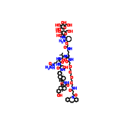 CC(C)[C@H](NC(=O)[C@@H](CCCCNC(=O)COC1CCCCC/C(N[C@H]2O[C@H](CO)C([C@H]3O[C@H](CO)[C@@H](O)[C@H](O)[C@H]3O)[C@H](O)[C@H]2O)=C\1N)NC(=O)CCOCCOCCOCCOCCNC(=O)CCC(=O)N1Cc2ccccc2C#Cc2ccccc21)C(=O)N[C@@H](CCCNC(N)=O)C(=O)N[C@@H](CO)C(=O)Nc1ccc2c(c1)[C@@]1(C)CCC[C@](C)(C(=O)NC(=O)[C@@]3(C)CCC[C@]4(C)c5cc(O)ccc5CC[C@@H]34)[C@@H]1CC2